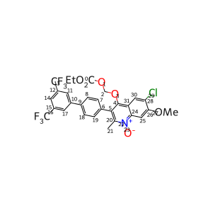 CCOC(=O)OCOc1c(-c2ccc(-c3cc(C(F)(F)F)cc(C(F)(F)F)c3)cc2)c(C)[n+]([O-])c2cc(OC)c(Cl)cc12